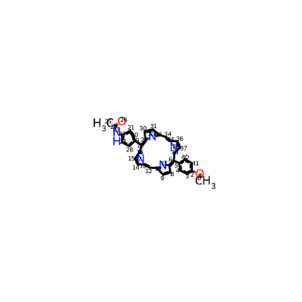 COc1ccc(C2=C3C=CC(=N3)C=C3C=CC(=N3)C(c3ccc(NC(C)=O)cc3)=C3C=CC(=N3)C=C3C=CC2=N3)cc1